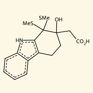 CSC1(SC)c2[nH]c3ccccc3c2CCC1(O)CC(=O)O